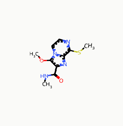 CNC(=O)c1nc2c(SC)nccn2c1OC